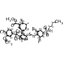 CCCCNS(=O)(=O)c1cc(F)c(CSc2ncc(C(C)(C)c3ccc(Cl)c(OC)c3)n2-c2ccc(F)c(C(=O)OC)c2)c(F)c1